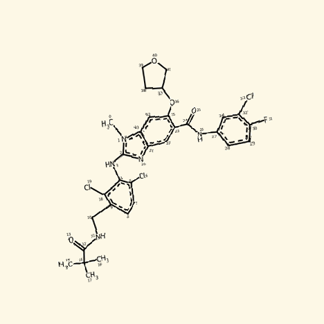 Cn1c(Nc2c(Cl)ccc(CNC(=O)C(C)(C)C)c2Cl)nc2cc(C(=O)Nc3ccc(F)c(Cl)c3)c(OC3CCOC3)cc21